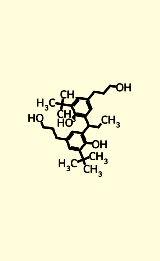 CCC(c1cc(CCCO)cc(C(C)(C)C)c1O)c1cc(CCCO)cc(C(C)(C)C)c1O